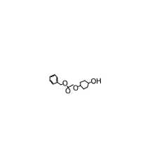 O=C(COC1CCC(O)CC1)OCc1ccccc1